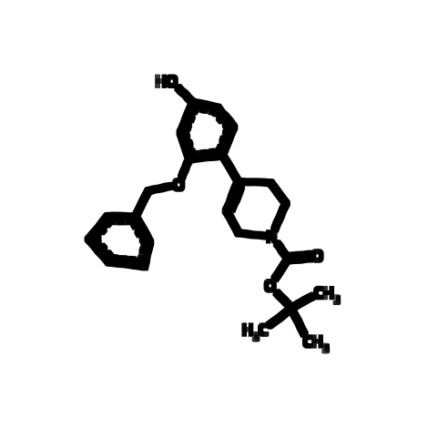 CC(C)(C)OC(=O)N1CC=C(c2ccc(O)cc2OCc2ccccc2)CC1